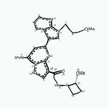 CNc1cc(-c2cn(CCOC)c3ncccc23)nc2c(C(=O)N[C@@H]3CC[C@H]3OC)cnn12